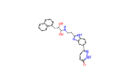 O=c1ccc(-c2ccc3[nH]c(CCNC(O)C(O)Cc4cccc5ccccc45)nc3c2)n[nH]1